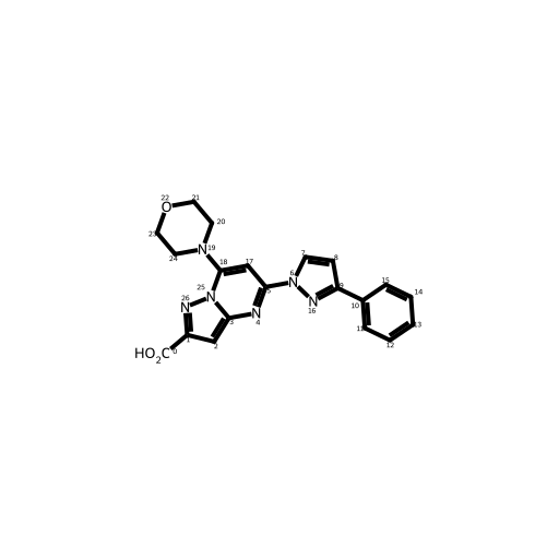 O=C(O)c1cc2nc(-n3ccc(-c4ccccc4)n3)cc(N3CCOCC3)n2n1